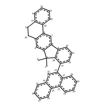 CC1(C)c2cc3c(cc2-c2cccc(-c4nc5ccccc5c5ccccc45)c21)-c1ccccc1CC3